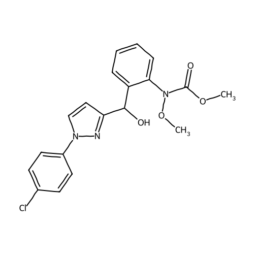 COC(=O)N(OC)c1ccccc1C(O)c1ccn(-c2ccc(Cl)cc2)n1